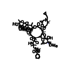 CO/N=C1\C[C@@H](C)O[C@@H](O[C@@H]2[C@@H](C)[C@H](O[C@H]3C[C@@H](C)N(CC4CC4)C[C@H](C)O3)[C@@H](C)C(=O)O[C@H](C(C)CO[C@@H]3O[C@H](C)[C@@H](O)[C@@H](OC)[C@H]3OC)[C@H](C)[C@@H](OC(=O)CC(C)C)[C@@H](C)C(=O)[C@@](C)(OC(=O)NC(C)(C)CNS(=O)(=O)c3ccccc3)C[C@@H]2C)[C@@H]1O